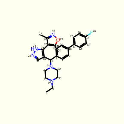 CCN1CCN(C(c2ccc(-c3ccc(F)cc3)cc2)c2cn[nH]c2-c2c(C)noc2C)CC1